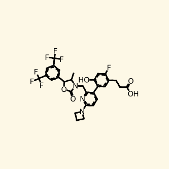 CC1C(c2cc(C(F)(F)F)cc(C(F)(F)F)c2)OC(=O)N1Cc1nc(N2CCC2)ccc1-c1cc(CCC(=O)O)c(F)cc1O